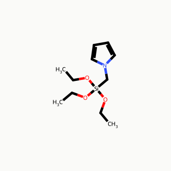 CCO[Si](Cn1cccc1)(OCC)OCC